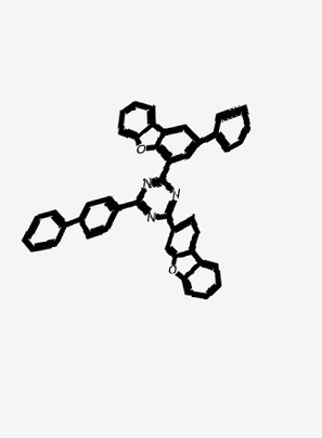 c1ccc(-c2ccc(-c3nc(-c4ccc5c(c4)oc4ccccc45)nc(-c4cc(-c5ccccc5)cc5c4oc4ccccc45)n3)cc2)cc1